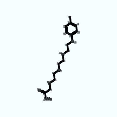 CNC(=O)COCCOCCOCCOc1ccc(C)cc1